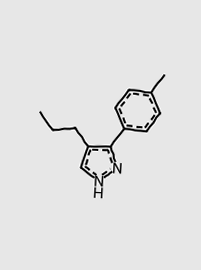 CCCc1c[nH]nc1-c1ccc(C)cc1